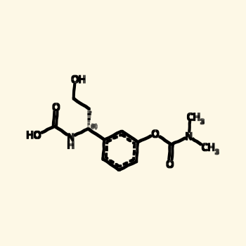 CN(C)C(=O)Oc1cccc([C@@H](CCO)NC(=O)O)c1